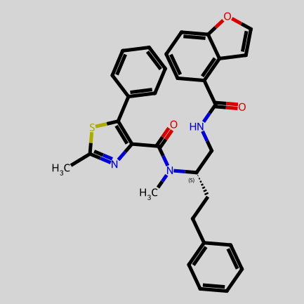 Cc1nc(C(=O)N(C)[C@@H](CCc2ccccc2)CNC(=O)c2cccc3occc23)c(-c2ccccc2)s1